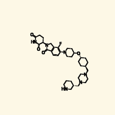 O=C1CCC(N2Cc3c(ccc(N4CCC(O[C@H]5CC[C@H](CN6CCN(C[C@H]7CCCNC7)CC6)CC5)CC4)c3F)C2=O)C(=O)N1